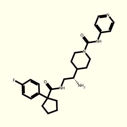 N[C@H](CNC(=O)C1(c2ccc(F)cc2)CCCC1)C1CCN(C(=O)Nc2ccncc2)CC1